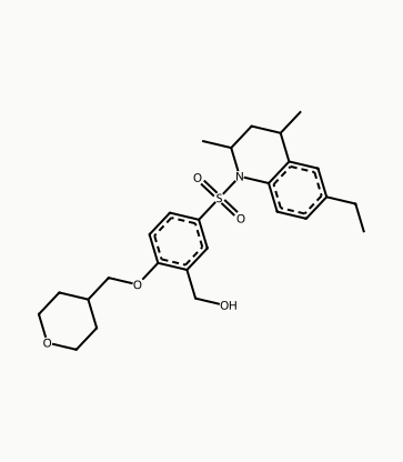 CCc1ccc2c(c1)C(C)CC(C)N2S(=O)(=O)c1ccc(OCC2CCOCC2)c(CO)c1